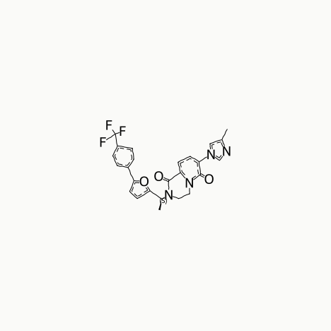 Cc1cn(-c2ccc3n(c2=O)CCN([C@@H](C)c2ccc(-c4ccc(C(F)(F)F)cc4)o2)C3=O)cn1